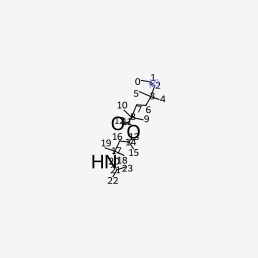 C/C=C\C(C)(C)CCC(C)(C)C(=O)OC(C)CC(C)(C)NC(C)C